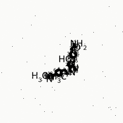 CCN(Cc1ccc(-c2cnn(C)c2)cc1)c1ncnc2c1ccn2C[C@@H]1CCN(CC(N)=O)C[C@H]1O